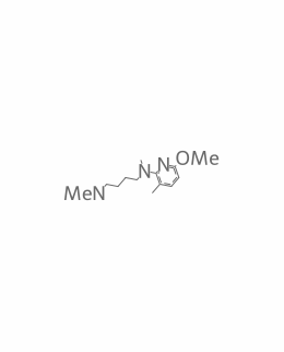 CNCCCCN(C)c1nc(OC)ccc1C